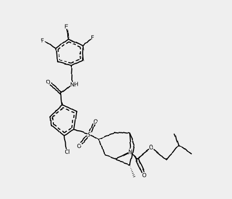 CC(C)COC(=O)N1C2CC(S(=O)(=O)c3cc(C(=O)Nc4cc(F)c(F)c(F)c4)ccc3Cl)CC1[C@@H](C)C2